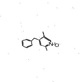 Cc1c[n+]([O-])c(C)cc1Cc1ccccc1